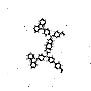 C=Cc1ccc(-c2ccc(N(c3ccc(-n4c5ccccc5c5ccccc54)cc3)c3cc4cc5sc(N(c6ccc(C=C)cc6)c6ccc(-n7c8ccccc8c8ccccc87)cc6)cc5cc4s3)cc2)cc1